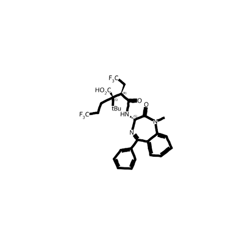 CN1C(=O)[C@@H](NC(=O)[C@H](CC(F)(F)F)[C@](CCC(F)(F)F)(C(=O)O)C(C)(C)C)N=C(c2ccccc2)c2ccccc21